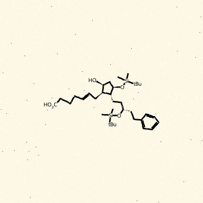 CC(C)(C)[Si](C)(C)O[C@@H](CCc1ccccc1)CC[C@@H]1[C@@H](CC=CCCCC(=O)O)[C@@H](O)C[C@H]1O[Si](C)(C)C(C)(C)C